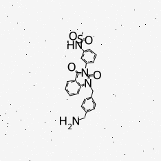 CS(=O)(=O)Nc1cccc(-n2c(=O)c3ccccc3n(Cc3ccc(CN)cc3)c2=O)c1